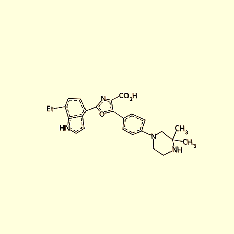 CCc1ccc(-c2nc(C(=O)O)c(-c3ccc(N4CCNC(C)(C)C4)cc3)o2)c2cc[nH]c12